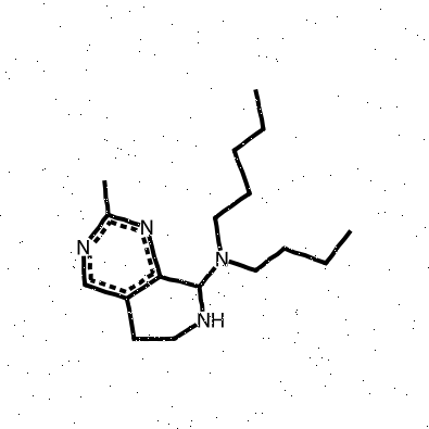 CCCCCN(CCCC)C1NCCc2cnc(C)nc21